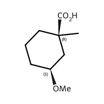 CO[C@H]1CCC[C@@](C)(C(=O)O)C1